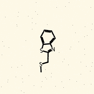 CSCc1nc2ccccc2s1